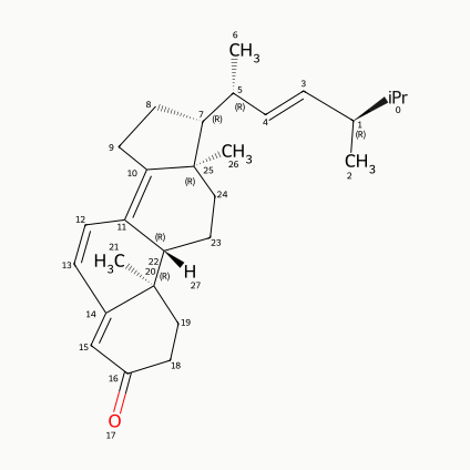 CC(C)[C@@H](C)C=C[C@@H](C)[C@H]1CCC2=C3C=CC4=CC(=O)CC[C@]4(C)[C@H]3CC[C@@]21C